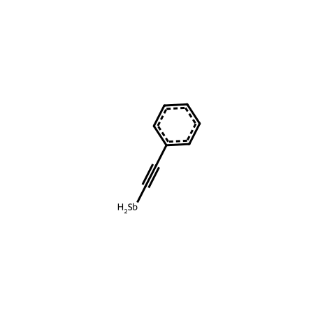 [SbH2][C]#Cc1ccccc1